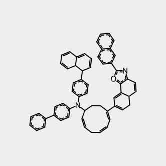 C1=CC2=CC=CC(c3ccc(N(c4ccc(-c5ccccc5)cc4)C4/C=C\C/C=C\C=C(\C5=CCC6C=Cc7nc(-c8ccc9ccccc9c8)oc7C6=C5)CC4)cc3)C2C=C1